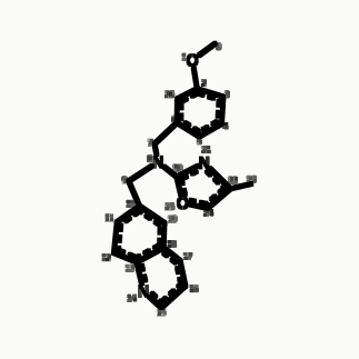 COc1cccc(CN(Cc2ccc3ncccc3c2)c2nc(C)co2)c1